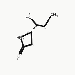 CCC(O)[C@@H]1CC(=O)N1